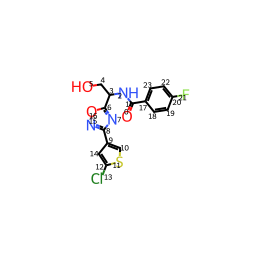 O=C(NC(CO)c1nc(-c2csc(Cl)c2)no1)c1ccc(F)cc1